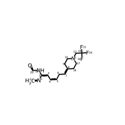 C=N/C(=C\C=C/CC=C1CCN(CC(F)(F)F)CC1)NC=O